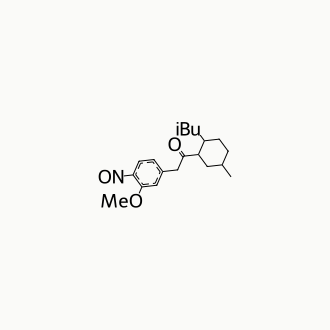 CCC(C)C1CCC(C)CC1C(=O)Cc1ccc(N=O)c(OC)c1